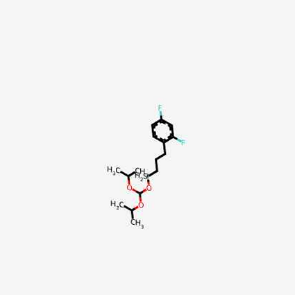 CC(C)OC(O[SiH2]CCCc1ccc(F)cc1F)OC(C)C